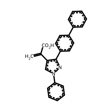 C=C(C(=O)O)c1cn(-c2ccccc2)nc1-c1ccc(-c2ccccc2)cc1